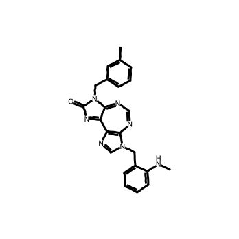 CNc1ccccc1Cn1cnc2c3nc(=O)n(Cc4cccc(C)c4)c-3ncnc21